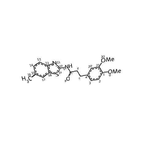 COc1ccc(CCC(=O)Nc2nc3ccc(C)cc3s2)cc1OC